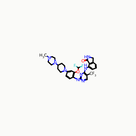 CN1CCN(C2CCN(c3ccc(Nc4ncc(C(F)(F)F)c(Nc5cccc6c5C(=O)NC6)n4)c(OC(F)F)c3)CC2)CC1